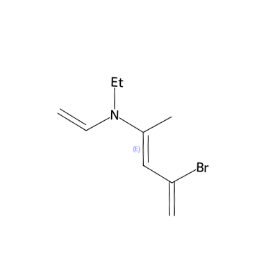 C=CN(CC)/C(C)=C/C(=C)Br